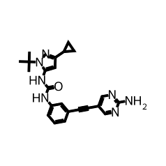 CC(C)(C)n1nc(C2CC2)cc1NC(=O)Nc1cccc(C#Cc2cnc(N)nc2)c1